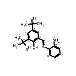 CC(C)(C)c1cc(/C=N/c2ccccc2N)c(O)c(C(C)(C)C)c1